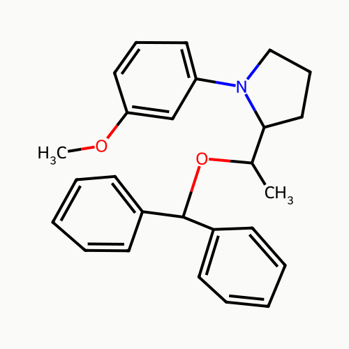 COc1cccc(N2CCCC2C(C)OC(c2ccccc2)c2ccccc2)c1